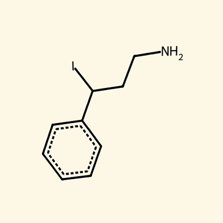 NCCC(I)c1ccccc1